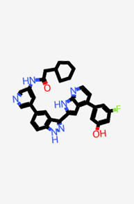 O=C(CC1CCCCC1)Nc1cncc(-c2ccc3[nH]nc(-c4cc5c(-c6cc(O)cc(F)c6)ccnc5[nH]4)c3c2)c1